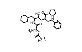 Cl.NC(=O)C[C@H](N)C(=O)NC(CC1CCCCC1)C(O)CN(CCc1ccccn1)C(=O)[C@@H]1CCCN1